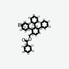 O=C(OCc1ccc(-c2ccccc2)c(-c2ccccc2)c1-c1ccccc1)c1ccccc1.P